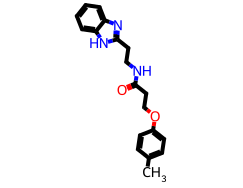 Cc1ccc(OCCC(=O)NCCc2nc3ccccc3[nH]2)cc1